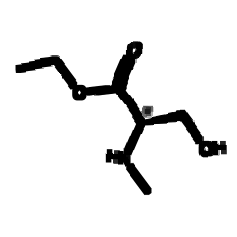 CCOC(=O)[C@@H](CO)NC